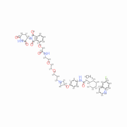 C[C@@H](C(=O)Nc1ccc(OC2CN(CCCOCCOCCNC(=O)COc3cccc4c3C(=O)N(C3CCC(=O)NC3=O)C4=O)C2)cc1)[C@H]1CC[C@@H](c2ccnc3ccc(F)cc32)CC1